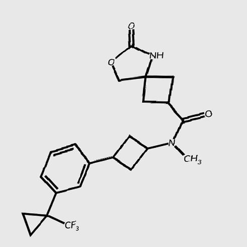 CN(C(=O)C1CC2(COC(=O)N2)C1)C1CC(c2cccc(C3(C(F)(F)F)CC3)c2)C1